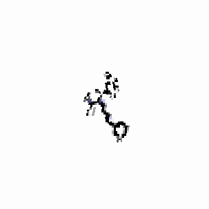 C/N=C(Cl)\C(=C/C/C=C/c1cccnc1)N(C)C(=O)CS(C)(=O)=O